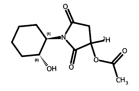 [2H]C1(OC(C)=O)CC(=O)N([C@@H]2CCCC[C@H]2O)C1=O